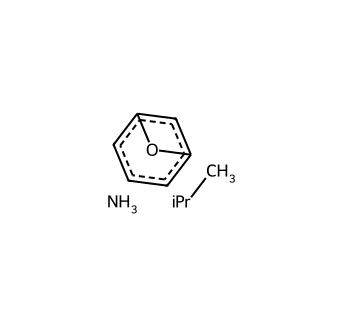 CC(C)C.N.c1cc2cc(c1)O2